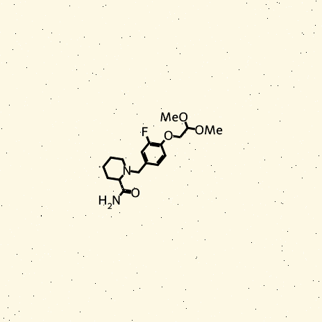 COC(COc1ccc(CN2CC[CH]CC2C(N)=O)cc1F)OC